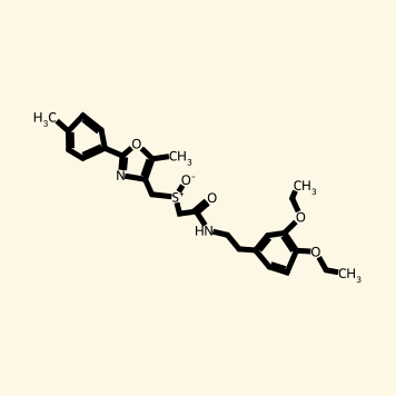 CCOc1ccc(CCNC(=O)C[S+]([O-])Cc2nc(-c3ccc(C)cc3)oc2C)cc1OCC